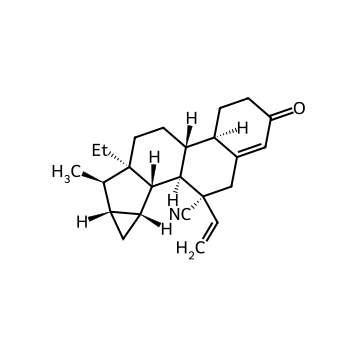 C=C[C@]1(C#N)CC2=CC(=O)CC[C@@H]2[C@H]2CC[C@@]3(CC)[C@@H]([C@@H]4C[C@@H]4[C@H]3C)[C@@H]21